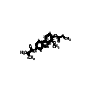 C=C(C)C(=O)Oc1ccc2c(c1)sc1c(OC)c(OC(=O)CC)ccc12